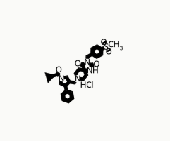 CS(=O)(=O)c1ccc(CN2C(=O)NC3(CCN(CC4CN(C(=O)C5CC5)CC4c4ccccc4)CC3)C2=O)cc1.Cl